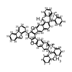 Cc1ccccc1N(c1ccc2cc3c(cc2c1)oc1cc(-c2cccc4c2oc2ccccc24)c2oc4cc5cc(N(c6ccccc6C)c6ccccc6C)ccc5cc4c2c13)c1ccccc1C